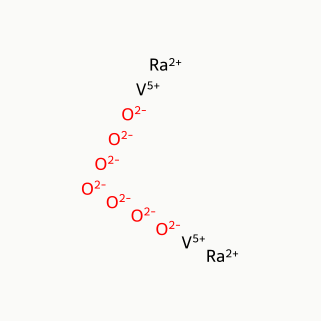 [O-2].[O-2].[O-2].[O-2].[O-2].[O-2].[O-2].[Ra+2].[Ra+2].[V+5].[V+5]